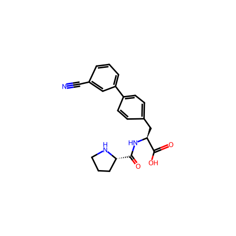 N#Cc1cccc(-c2ccc(C[C@H](NC(=O)[C@@H]3CCCN3)C(=O)O)cc2)c1